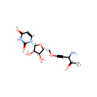 NC(C#COC[C@H]1O[C@@H](n2ccc(=O)[nH]c2=O)[C@H](O)[C@@H]1O)C(=O)C(F)(F)F